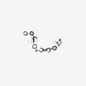 O=C1CCC(Nc2ccc(C3CCN(CC4(O)CCN(C(=O)[C@H]5CC[C@H](Nc6ncc(F)c(-c7cccc(N8CCCCC8)c7)n6)CC5)CC4)CC3)c(F)c2)C(=O)N1